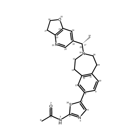 CC(=O)Nc1ncc(-c2ccc3c(c2)CCN([C@@H](C)c2cnc4c(c2)OCC4)CC3)s1